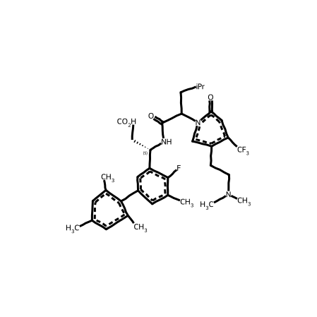 Cc1cc(C)c(-c2cc(C)c(F)c([C@H](CC(=O)O)NC(=O)C(CC(C)C)n3cc(CCN(C)C)c(C(F)(F)F)cc3=O)c2)c(C)c1